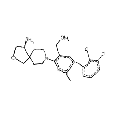 Cc1nc(N2CCC3(CC2)COC[C@H]3N)c(CO)cc1-c1cccc(Cl)c1Cl